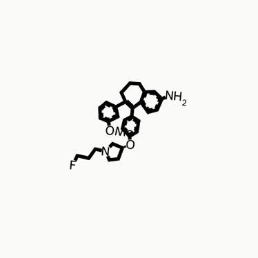 COc1cccc(C2=C(c3ccc(O[C@H]4CCN(CCCF)C4)cc3)c3ccc(N)cc3CCC2)c1